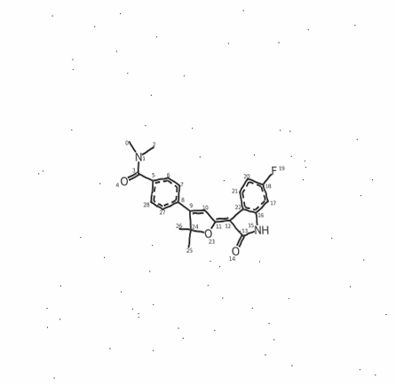 CN(C)C(=O)c1ccc(C2=CC(=C3C(=O)Nc4cc(F)ccc43)OC2(C)C)cc1